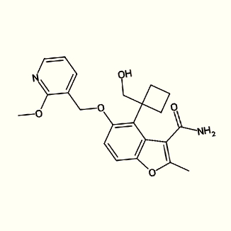 COc1ncccc1COc1ccc2oc(C)c(C(N)=O)c2c1C1(CO)CCC1